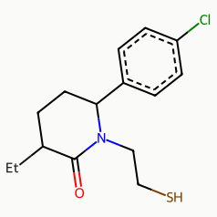 CCC1CCC(c2ccc(Cl)cc2)N(CCS)C1=O